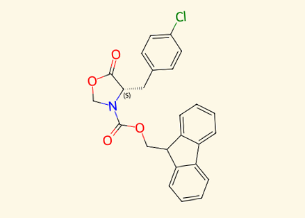 O=C1OCN(C(=O)OCC2c3ccccc3-c3ccccc32)[C@H]1Cc1ccc(Cl)cc1